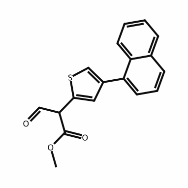 COC(=O)C(C=O)c1cc(-c2cccc3ccccc23)cs1